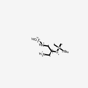 CC(C)(C)[Si](C)(C)O[C@@H](CN)CNC(=O)O